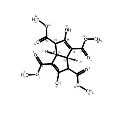 COC(=O)C1=C(O)C(C(=O)OC)[C@H]2C(C(=O)OC)=C(O)C(C(=O)OC)[C@@H]12